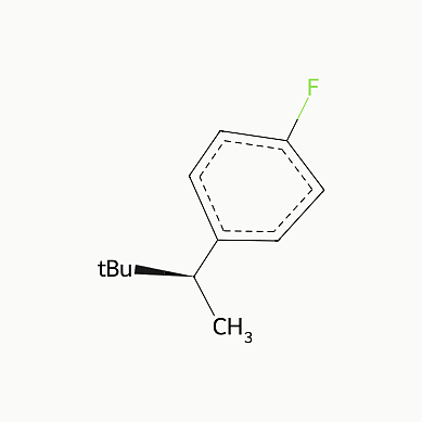 C[C@H](c1ccc(F)cc1)C(C)(C)C